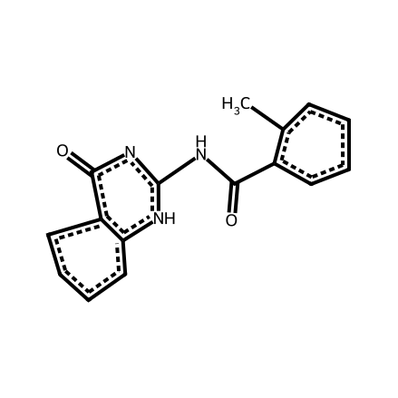 Cc1ccccc1C(=O)Nc1nc(=O)c2ccccc2[nH]1